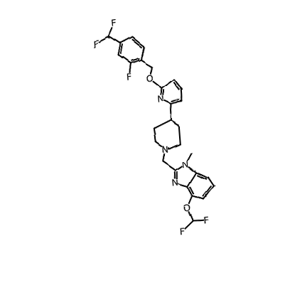 Cn1c(CN2CCC(c3cccc(OCc4ccc(C(F)F)cc4F)n3)CC2)nc2c(OC(F)F)cccc21